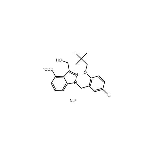 CC(C)(F)COc1ccc(Cl)cc1Cn1nc(CO)c2c(C(=O)[O-])cccc21.[Na+]